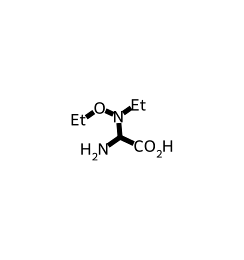 CCON(CC)C(N)C(=O)O